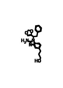 Nc1nc2cc(CCCO)ccc2n1C(Cc1ccccc1)C1=COCO1